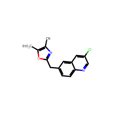 CCOC(=O)c1oc(Cc2ccc3ncc(Cl)cc3c2)nc1C#N